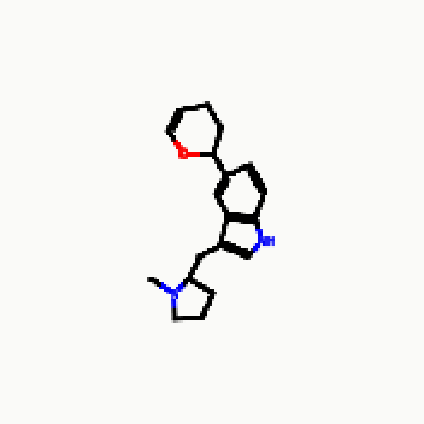 CN1CCC[C@@H]1Cc1c[nH]c2ccc(C3CCC=CO3)cc12